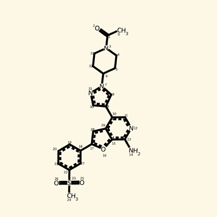 CC(=O)N1CCC(n2cc(-c3cnc(N)c4oc(-c5cccc(S(C)(=O)=O)c5)cc34)cn2)CC1